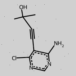 CC(C)(O)C#Cc1c(N)ncnc1Cl